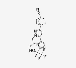 C[C@H]1Cn2nc(C34CCC(C#N)(CC3)C4)cc2-c2cnc([C@@](C)(O)C(F)(F)F)n21